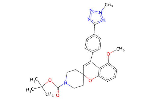 COc1cccc2c1C(c1ccc(-c3nnn(C)n3)cc1)=CC1(CCN(C(=O)OC(C)(C)C)CC1)O2